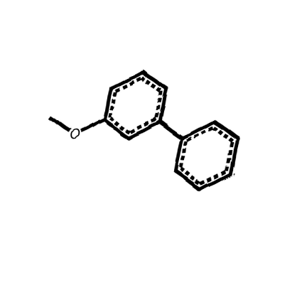 COc1cccc(-c2cc[c]cc2)c1